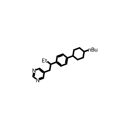 CCCCC1CCC(c2ccc(C(CC)Cc3cncnc3)cc2)CC1